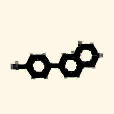 Oc1ccc(-c2ccc3cncnc3c2)cc1